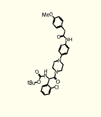 COc1ccc(CC(=O)Nc2ccc(N3CCN(C(=O)C(NC(=O)OC(C)(C)C)c4ccccc4Cl)CC3)cc2)cc1